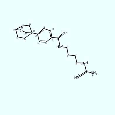 N=C(N)NCCC[CH]NC(=O)c1ccc(C23CCC(CC2)CC3)cc1